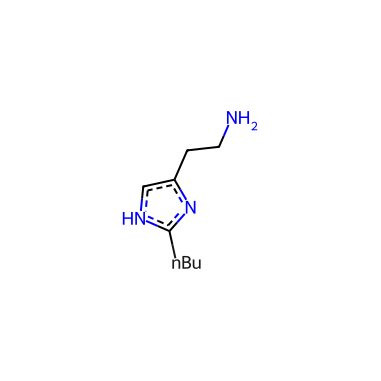 CCCCc1nc(CCN)c[nH]1